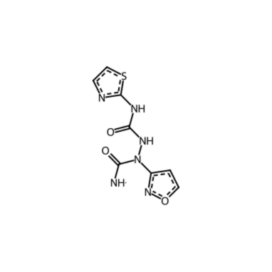 [NH]C(=O)N(NC(=O)Nc1nccs1)c1ccon1